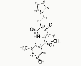 CCc1c(C(=O)c2cc(C)cc(C)c2)[nH]c(=O)n(CCC2=CCCC2)c1=O